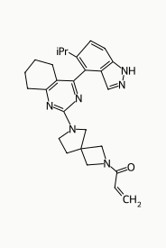 C=CC(=O)N1CC2(CCN(c3nc4c(c(-c5c(C(C)C)ccc6[nH]ncc56)n3)CCCC4)C2)C1